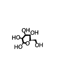 OC[C@H]1O[C@@H](O)[C@@H](O)[C@@H](O)[C@@H]1O